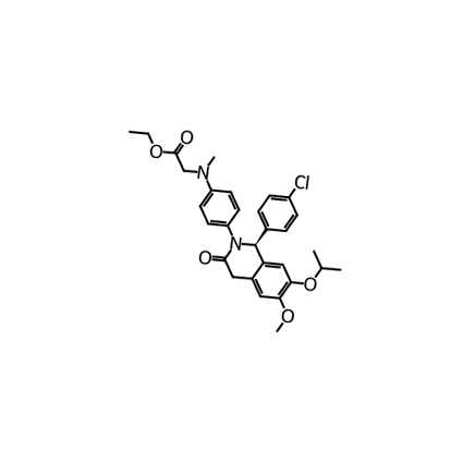 CCOC(=O)CN(C)c1ccc(N2C(=O)Cc3cc(OC)c(OC(C)C)cc3[C@@H]2c2ccc(Cl)cc2)cc1